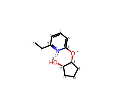 CCc1cccc(O[C@H]2CCC[C@H]2O)n1